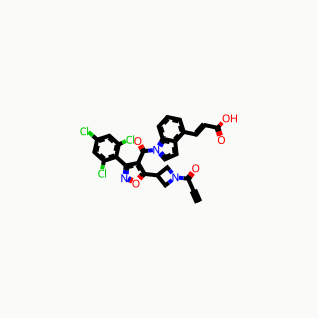 C#CC(=O)N1CC(c2onc(-c3c(Cl)cc(Cl)cc3Cl)c2C(=O)n2ccc3c(/C=C/C(=O)O)cccc32)C1